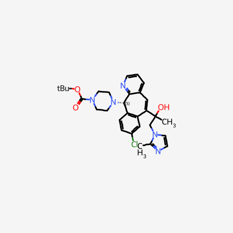 Cc1nccn1CC(C)(O)C1=Cc2cccnc2[C@@H](N2CCN(C(=O)OC(C)(C)C)CC2)c2ccc(Cl)cc21